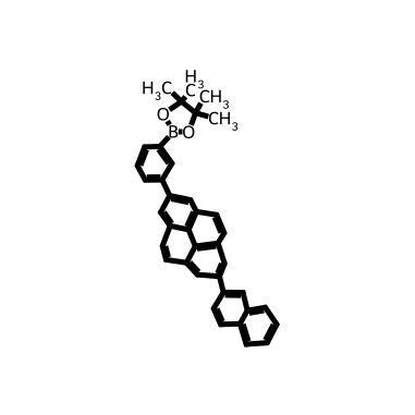 CC1(C)OB(c2cccc(-c3cc4ccc5cc(-c6ccc7ccccc7c6)cc6ccc(c3)c4c56)c2)OC1(C)C